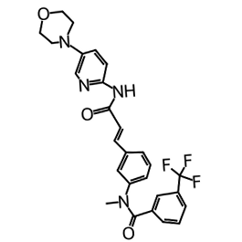 CN(C(=O)c1cccc(C(F)(F)F)c1)c1cccc(/C=C/C(=O)Nc2ccc(N3CCOCC3)cn2)c1